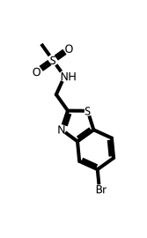 CS(=O)(=O)NCc1nc2cc(Br)ccc2s1